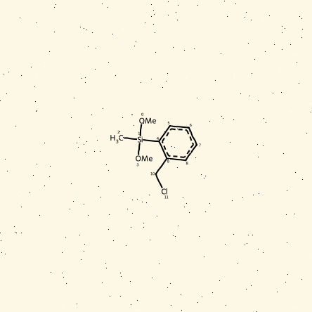 CO[Si](C)(OC)c1ccccc1CCl